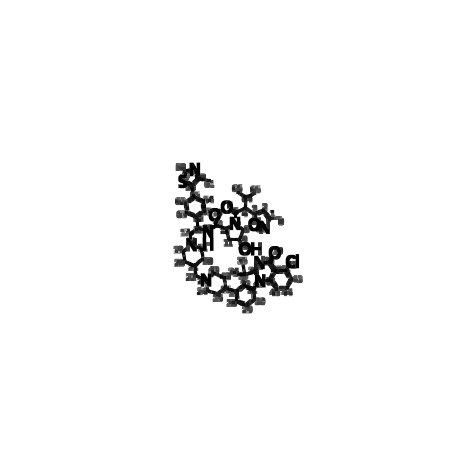 Cc1cc(C(C(=O)N2CC(O)CC2C(=O)N[C@@H](CN2CCC(CN3CCC(c4cccc5c4C(C)(C)c4nc(=O)c6c(Cl)cccc6n4-5)CC3)CC2)c2ccc(-c3scnc3C)cc2)C(C)C)on1